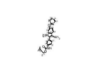 CCn1c(-c2ccc(NC(=O)O[C@H](C)C3CC3)cc2)c(N)c2ccc(Oc3ncccn3)cc21